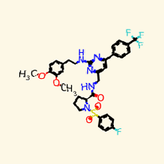 COc1ccc(CCNc2nc(CNC(=O)[C@@H]3CCCN3S(=O)(=O)c3ccc(F)cc3)cc(-c3ccc(C(F)(F)F)cc3)n2)cc1OC